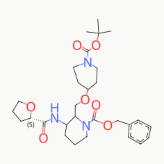 CC(C)(C)OC(=O)N1CCC(OCC2C(NC(=O)[C@@H]3CCCO3)CCCN2C(=O)OCc2ccccc2)CC1